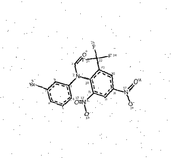 O=CN(c1cccc(Br)c1)c1c([N+](=O)[O-])cc([N+](=O)[O-])cc1C(F)(F)F